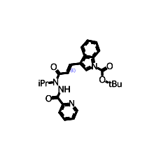 CC(C)N(NC(=O)c1ccccn1)C(=O)/C=C/c1cn(C(=O)OC(C)(C)C)c2ccccc12